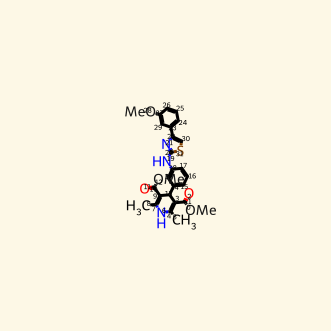 COC(=O)C1=C(C)NC(C)=C(C(=O)OC)C1c1cccc(Nc2nc(-c3cccc(OC)c3)cs2)c1